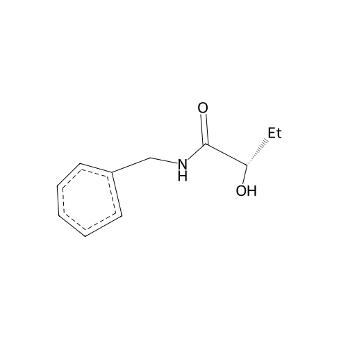 CC[C@H](O)C(=O)NCc1ccccc1